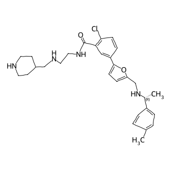 Cc1ccc([C@@H](C)NCc2ccc(-c3ccc(Cl)c(C(=O)NCCNCC4CCNCC4)c3)o2)cc1